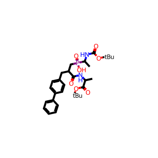 CC(NC(=O)C(Cc1ccc(-c2ccccc2)cc1)CP(=O)(O)C(C)NC(=O)OC(C)(C)C)C(=O)OC(C)(C)C